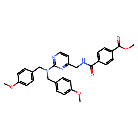 COC(=O)c1ccc(C(=O)NCc2ccnc(N(Cc3ccc(OC)cc3)Cc3ccc(OC)cc3)n2)cc1